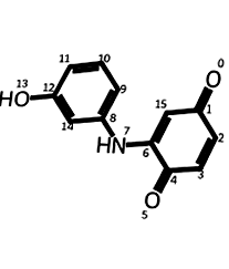 O=C1C=CC(=O)C(Nc2cccc(O)c2)=C1